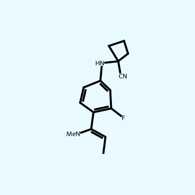 CC=C(NC)c1ccc(NC2(C#N)CCC2)cc1F